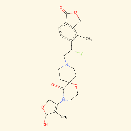 CC1=C(N2CCOC3(CCN(C[C@@H](F)c4ccc5c(c4C)COC5=O)CC3)C2=O)COC1O